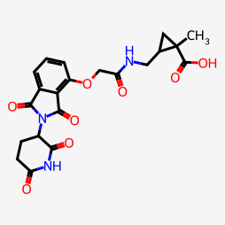 CC1(C(=O)O)CC1CNC(=O)COc1cccc2c1C(=O)N(C1CCC(=O)NC1=O)C2=O